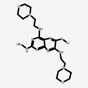 CCCCNc1nc(NCCN2CCOCC2)c2nc(SCC)c(NCCN3CCOCC3)nc2n1